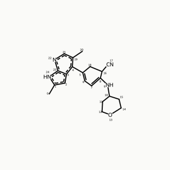 Cc1cc2c(C3=CC=C(NC4CCOCC4)C(C#N)C3)c(C)cnc2[nH]1